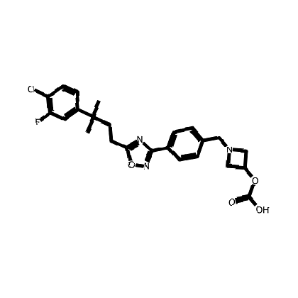 CC(C)(CCc1nc(-c2ccc(CN3CC(OC(=O)O)C3)cc2)no1)c1ccc(Cl)c(F)c1